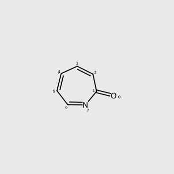 O=c1cc[c]ccn1